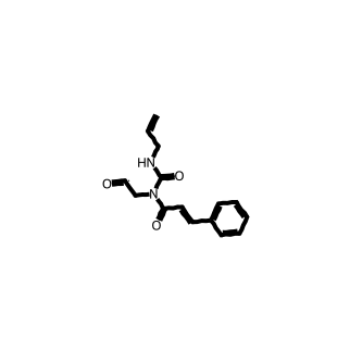 C=CCNC(=O)N(C[C]=O)C(=O)/C=C/c1ccccc1